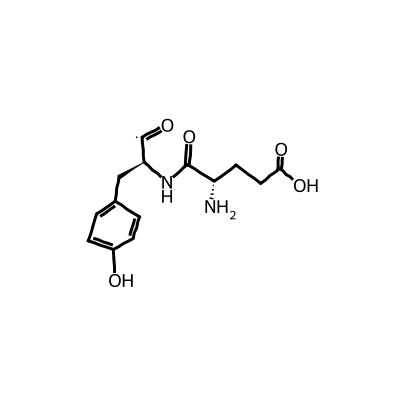 N[C@@H](CCC(=O)O)C(=O)N[C@H]([C]=O)Cc1ccc(O)cc1